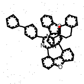 C1=C(c2nc(-c3ccc(-c4ccccc4)cc3)nc(-c3cccc4oc5cccc(-c6ccc7c(c6)oc6ccccc67)c5c34)n2)CCc2ccccc21